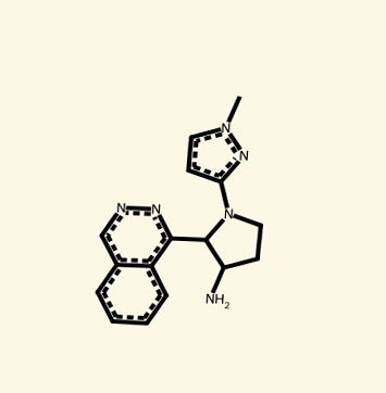 Cn1ccc(N2CCC(N)C2c2nncc3ccccc23)n1